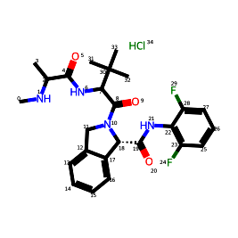 CNC(C)C(=O)NC(C(=O)N1Cc2ccccc2[C@H]1C(=O)Nc1c(F)cccc1F)C(C)(C)C.Cl